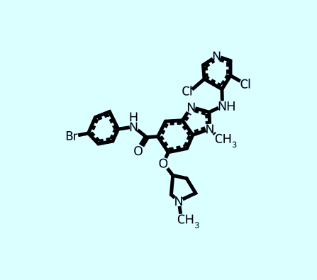 CN1CCC(Oc2cc3c(cc2C(=O)Nc2ccc(Br)cc2)nc(Nc2c(Cl)cncc2Cl)n3C)C1